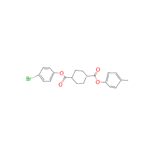 Cc1ccc(OC(=O)C2CCC(C(=O)Oc3ccc(Br)cc3)CC2)cc1